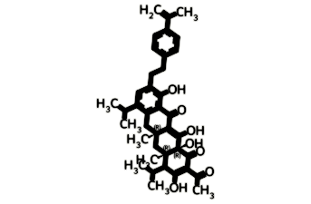 C=C(C)c1ccc(CCc2cc(C(C)C)c3c(c2O)C(=O)C2=C(O)[C@@]4(O)C(=O)C(C(C)=O)=C(O)C(C(C)C)[C@@]4(C)C[C@@]2(C)C3)cc1